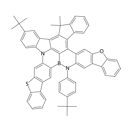 CC(C)(C)c1ccc(N2B3c4cc5c(cc4-n4c6ccc(C(C)(C)C)cc6c6c7c(c(c3c64)-c3cc4oc6ccccc6c4cc32)-c2ccccc2C7(C)C)sc2ccccc25)cc1